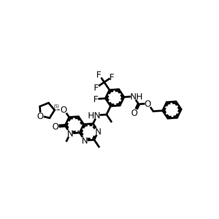 Cc1nc(NC(C)c2cc(NC(=O)OCc3ccccc3)cc(C(F)(F)F)c2F)c2cc(O[C@H]3CCOC3)c(=O)n(C)c2n1